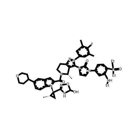 CCNc1cc(-n2ccn(-c3c4c(nn3-c3cc(C)c(F)c(C)c3)CCN(C(=O)c3cc5cc(C6CCOCC6)ccc5n3[C@@]3(C5=NOC(O)N5)C[C@@H]3C)[C@H]4C)c2=O)ccc1P(=O)(CC)CC